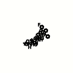 CC(C)(C)OC(=O)Nc1nc(C(=NO)C(=O)NC2C(=O)N3C(C(=O)OC(c4ccccc4)c4ccccc4)=C(COc4cccc(F)c4)CS[C@@H]23)ns1